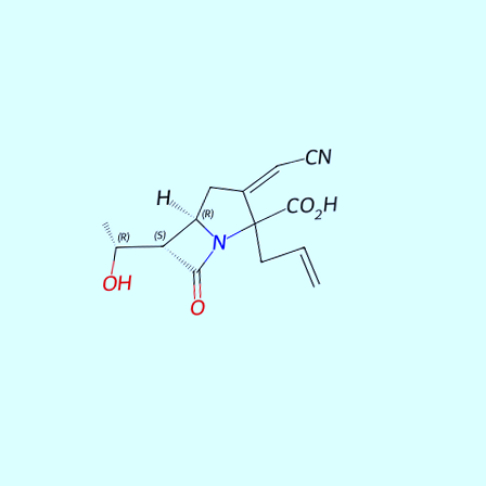 C=CCC1(C(=O)O)C(=CC#N)C[C@@H]2[C@@H]([C@@H](C)O)C(=O)N21